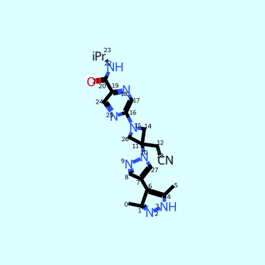 Cc1n[nH]c(C)c1-c1cnn(C2(CC#N)CN(c3cnc(C(=O)NC(C)C)cn3)C2)c1